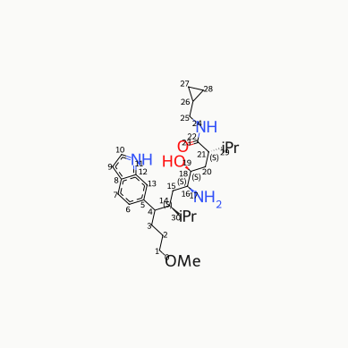 COCCCC(c1ccc2cc[nH]c2c1)[C@@H](C[C@H](N)[C@@H](O)C[C@H](C(=O)NCC1CC1)C(C)C)C(C)C